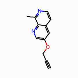 C#CCOc1cnc2c(C)nccc2c1